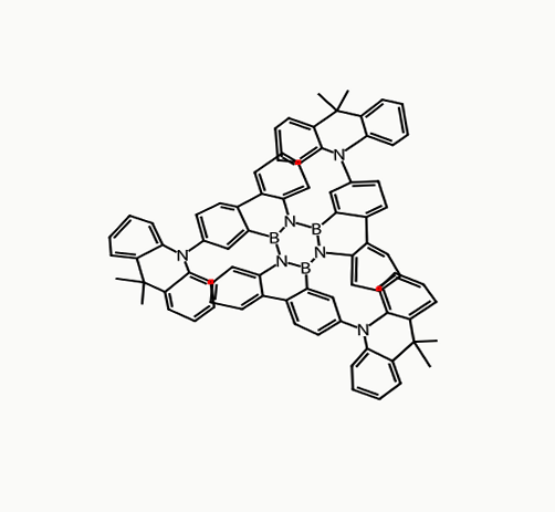 CC1(C)c2ccccc2N(c2ccc3c(c2)B2N(B4c5cc(N6c7ccccc7C(C)(C)c7ccccc76)ccc5-c5ccccc5N4B4c5cc(N6c7ccccc7C(C)(C)c7ccccc76)ccc5-c5ccccc5N24)c2ccccc2-3)c2ccccc21